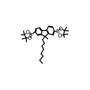 CCCCCCCCC1(C)c2cc(B3OC(C)(C)C(C)(C)O3)ccc2-c2ccc(B3OC(C)(C)C(C)(C)O3)cc21